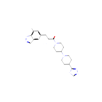 Cc1cc(C[C@@H](N)C(=O)N2CCC(N3CCC(c4nnc[nH]4)CC3)CC2)cc2cn[nH]c12